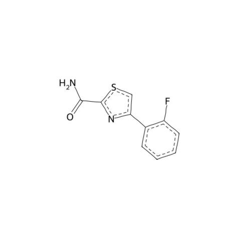 NC(=O)c1nc(-c2ccccc2F)cs1